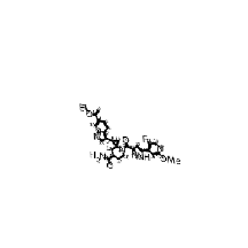 C=C(OCC)c1ccc2c(C3CC34CC(C(N)=O)CCN4C(=O)c3cc(-c4cc(OC)ncc4F)[nH]n3)cnn2c1